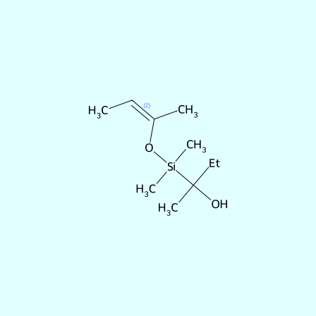 C/C=C(/C)O[Si](C)(C)C(C)(O)CC